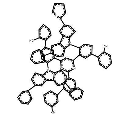 N#Cc1cccc(-c2cccc(-c3nc(-c4cc(-c5ccccc5C#N)ccc4-n4c5ccc(-c6ccccc6)cc5c5cc(-c6ccccc6)ccc54)nc(-c4cc(-c5ccccc5C#N)ccc4-n4c5ccc(-c6ccccc6)cc5c5cc(-c6ccccc6)ccc54)n3)c2)c1